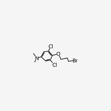 CN(C)c1cc(Cl)c(OCCCBr)c(Cl)c1